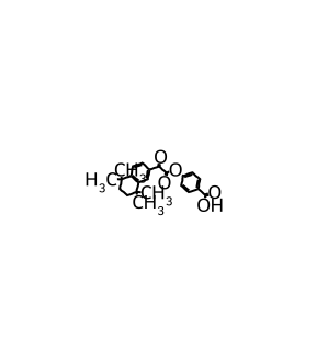 CC1(C)CCC(C)(C)c2cc(C(=O)C(=O)Oc3ccc(C(=O)O)cc3)ccc21